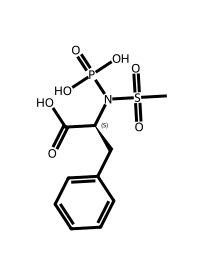 CS(=O)(=O)N([C@@H](Cc1ccccc1)C(=O)O)P(=O)(O)O